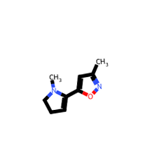 Cc1cc(C2=CCCN2C)on1